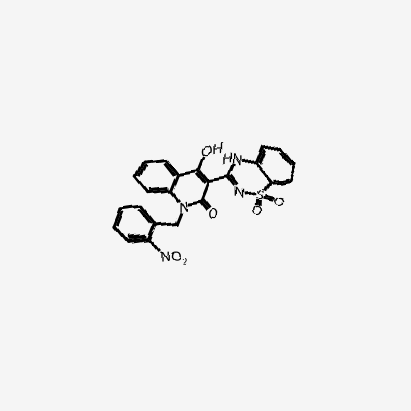 O=c1c(C2=NS(=O)(=O)c3ccccc3N2)c(O)c2ccccc2n1Cc1ccccc1[N+](=O)[O-]